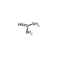 [BH2][Ti][SiH3].[NaH]